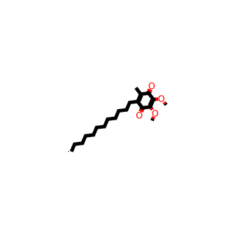 [CH2]CCCCCCCCCCCC1=C(C)C(=O)C(OC)=C(OC)C1=O